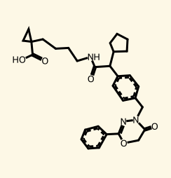 O=C(NCCCCC1(C(=O)O)CC1)C(c1ccc(CN2N=C(c3ccccc3)OCC2=O)cc1)C1CCCC1